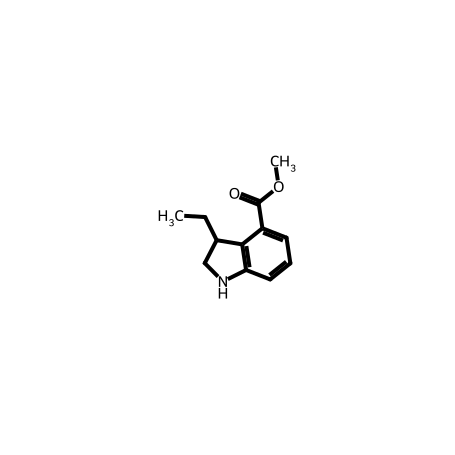 CCC1CNc2cccc(C(=O)OC)c21